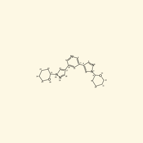 c1ncc(-c2cnn(C3CCCCO3)c2)cc1-c1cnn(C2CCCCO2)c1